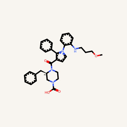 COCCCNc1ccccc1-n1ccc(C(=O)N2CCN(C(=O)O)C[C@H]2Cc2ccccc2)c1-c1ccccc1